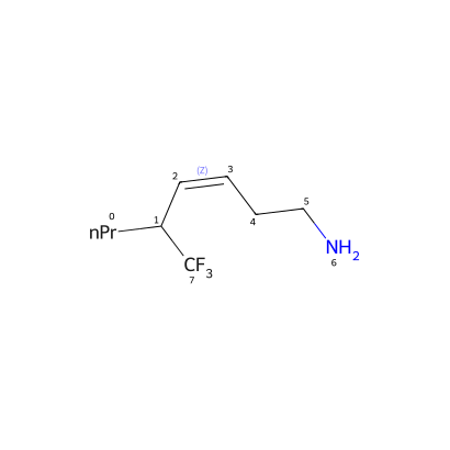 CCCC(/C=C\CCN)C(F)(F)F